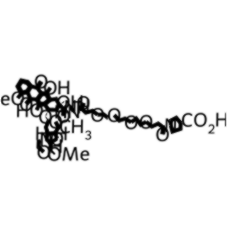 COc1cccc2c1C(=O)c1c(O)c3c(c(O)c1C2=O)C[C@@](O)(C(=O)NNC(=O)CCOCCOCCOCCOCCC(=O)N1CCC(C(=O)O)CC1)C[C@@H]3O[C@H]1C[C@H]2[C@H](O[C@@H]3[C@@H](OC)OCCN32)[C@H](C)O1